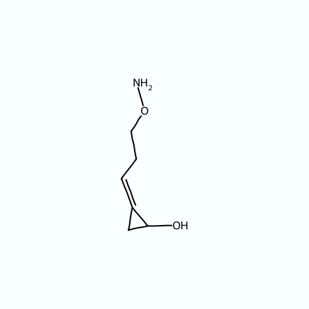 NOCCC=C1CC1O